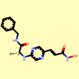 CC(C)[C@@H](Nc1cnc(/C=C/C(=O)NO)cn1)C(=O)NCc1ccccc1